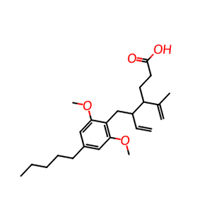 C=CC(Cc1c(OC)cc(CCCCC)cc1OC)C(CCC(=O)O)C(=C)C